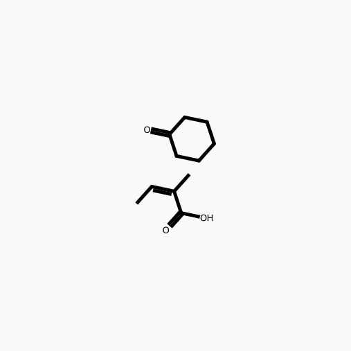 CC=C(C)C(=O)O.O=C1CCCCC1